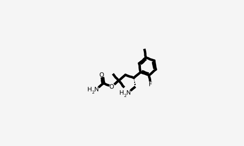 Cc1ccc(F)c([C@H](CN)CC(C)(C)OC(N)=O)c1